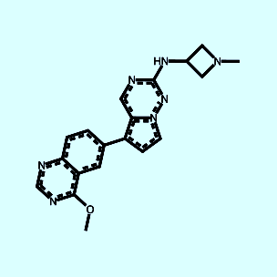 COc1ncnc2ccc(-c3ccn4nc(NC5CN(C)C5)ncc34)cc12